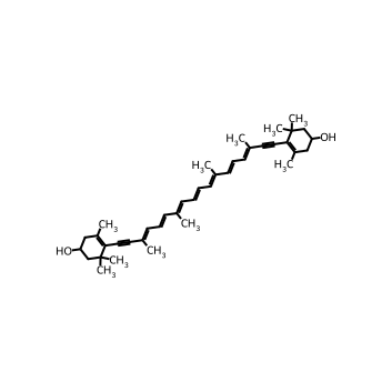 CC1=C(C#C/C(C)=C/C=C/C(C)=C/C=C/C=C(C)/C=C/C=C(\C)C#CC2=C(C)CC(O)CC2(C)C)C(C)(C)CC(O)C1